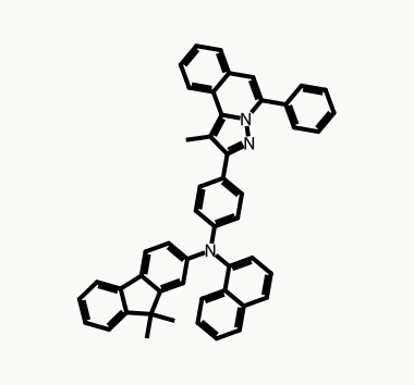 Cc1c(-c2ccc(N(c3ccc4c(c3)C(C)(C)c3ccccc3-4)c3cccc4ccccc34)cc2)nn2c(-c3ccccc3)cc3ccccc3c12